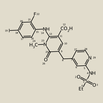 CCS(=O)(=O)Nc1cc(Cc2cc(C(=O)O)c(Nc3ccc(I)cc3F)n(C)c2=O)ccn1